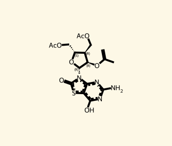 C=C(C)O[C@@H]1[C@H](COC(C)=O)[C@@H](COC(C)=O)O[C@H]1n1c(=O)sc2c(O)nc(N)nc21